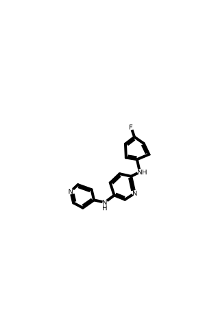 Fc1ccc(Nc2ccc(Nc3ccncc3)cn2)cc1